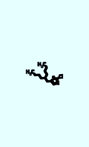 CCCCC(CCCC)Cc1cnc(Cl)s1